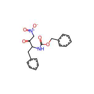 O=C(NC(Cc1ccccc1)C(=O)C[N+](=O)[O-])OCc1ccccc1